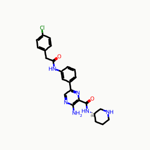 Nc1ncc(-c2cccc(NC(=O)Cc3ccc(Cl)cc3)c2)nc1C(=O)N[C@H]1CCCNC1